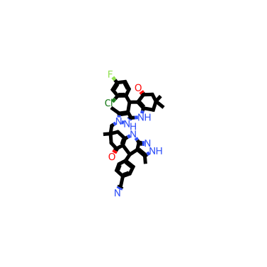 Cc1[nH]nc2c1C(c1ccc(C#N)cc1)C1=C(CC(C)(Cn3nc4c(c3C)C(c3ccc(F)cc3Cl)C3=C(CC(C)(C)CC3=O)N4)CC1=O)N2